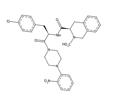 O=C(N[C@H](Cc1ccc(Cl)cc1)C(=O)N1CCN(c2ccccc2[N+](=O)[O-])CC1)[C@H]1Cc2ccccc2CN1C(=O)O